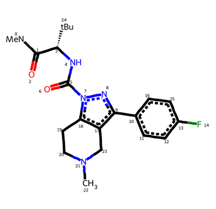 CNC(=O)[C@@H](NC(=O)n1nc(-c2ccc(F)cc2)c2c1CCN(C)C2)C(C)(C)C